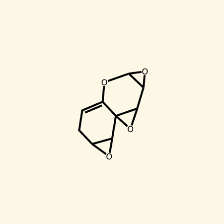 C1=C2OC3OC3C3OC23C2OC2C1